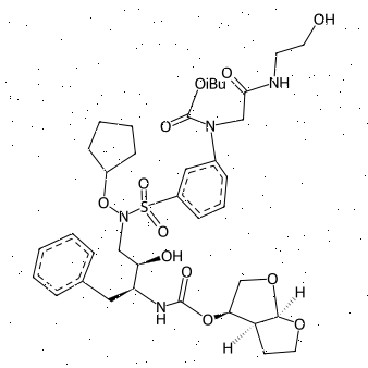 CC(C)COC(=O)N(CC(=O)NCCO)c1cccc(S(=O)(=O)N(C[C@@H](O)[C@H](Cc2ccccc2)NC(=O)O[C@H]2CO[C@H]3OCC[C@H]32)OC2CCCC2)c1